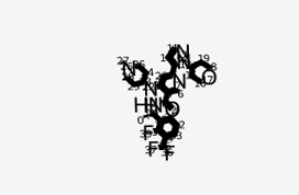 C[C@@H](NC(=O)c1cnc(-c2ccnn2C2CCOCC2)cc1NC1CCN(C)CC1)c1cccc(C(F)F)c1F